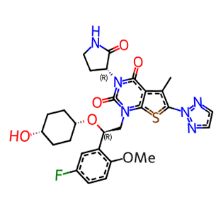 COc1ccc(F)cc1[C@H](Cn1c(=O)n([C@@H]2CCNC2=O)c(=O)c2c(C)c(-n3nccn3)sc21)O[C@H]1CC[C@@H](O)CC1